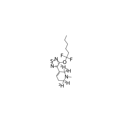 [2H]C1([2H])CC=C(c2nsnc2OC(F)(F)CCCCC)C([2H])([2H])N1C